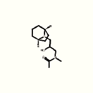 CC(=O)N(C)CC(O)CN1[C@@H]2C[CH]C[C@H]1CC2